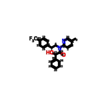 Cc1ccc(N(CCc2ccc(C(F)(F)F)cc2)C(=O)C(O)c2ccccc2)nc1